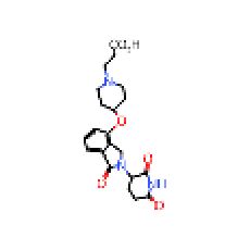 O=C(O)CCN1CCC(Oc2cccc3c2CN(C2CCC(=O)NC2=O)C3=O)CC1